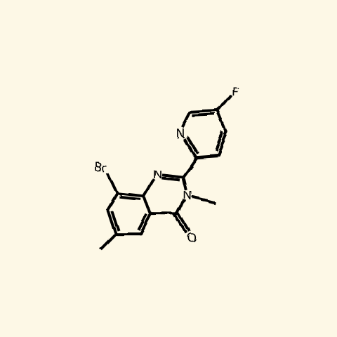 Cc1cc(Br)c2nc(-c3ccc(F)cn3)n(C)c(=O)c2c1